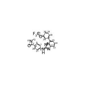 CN(C)C(=O)c1ccc(Nc2nc3cccc(-c4cccc(OC(F)(F)F)c4)n3n2)cc1